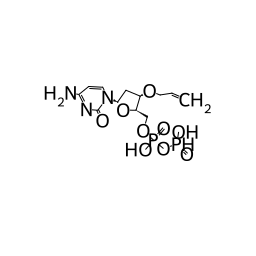 C=CCO[C@@H]1C[C@H](n2ccc(N)nc2=O)O[C@@H]1COP(=O)(O)O[PH](=O)O